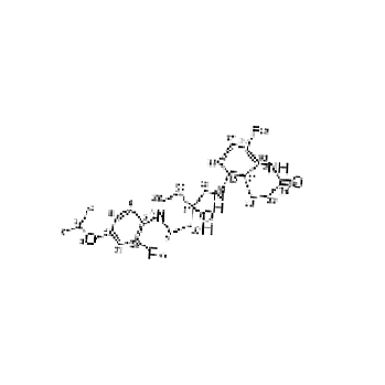 CC(C)Oc1ccc(N2CCC(O)(CNc3ccc(F)c4c3CCC(=O)N4)CC2)c(F)c1